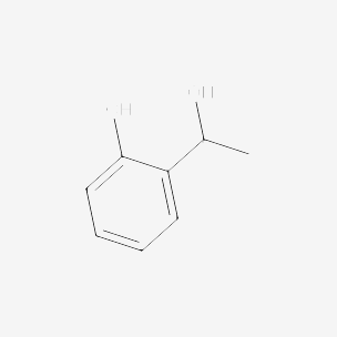 C[C](O)c1ccccc1O